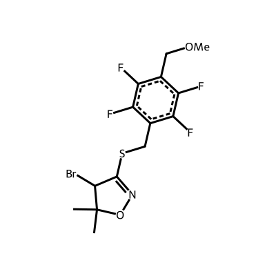 COCc1c(F)c(F)c(CSC2=NOC(C)(C)C2Br)c(F)c1F